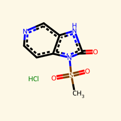 CS(=O)(=O)n1c(=O)[nH]c2cnccc21.Cl